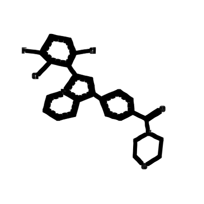 O=C(c1ccc(-c2cc(-c3c(Cl)ccc(F)c3Cl)n3ccccc23)cc1)N1CCOCC1